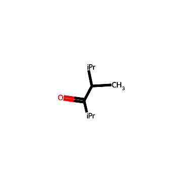 CC(C)C(=O)C(C)C(C)C